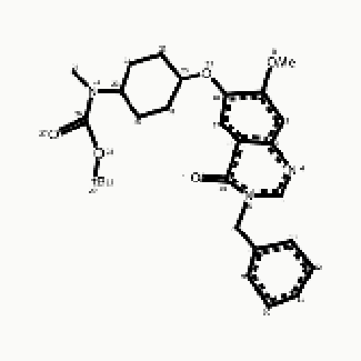 COc1cc2ncn(Cc3ccccc3)c(=O)c2cc1OC1CCC(N(C)C(=O)OC(C)(C)C)CC1